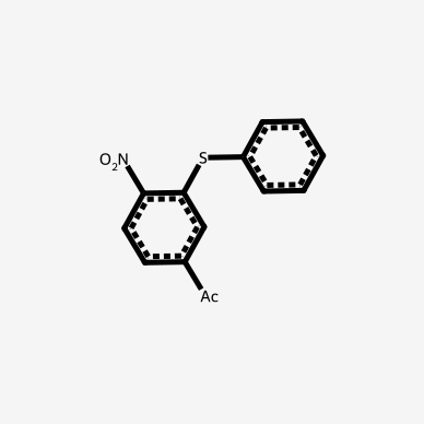 CC(=O)c1ccc([N+](=O)[O-])c(Sc2ccccc2)c1